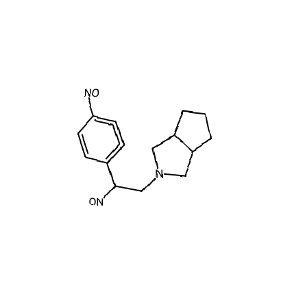 O=NC1=C=C=C(C(CN2CC3CCCC3C2)N=O)C=C1